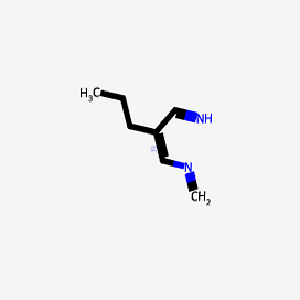 C=N/C=C(\C=N)CCC